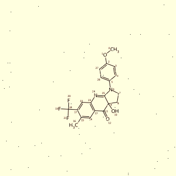 COc1ccc(N2CCC3(O)C(=O)c4cc(C)c(C(F)(F)F)cc4N=C23)cc1